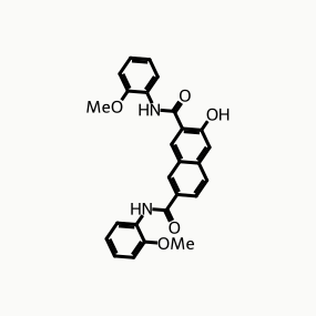 COc1ccccc1NC(=O)c1ccc2cc(O)c(C(=O)Nc3ccccc3OC)cc2c1